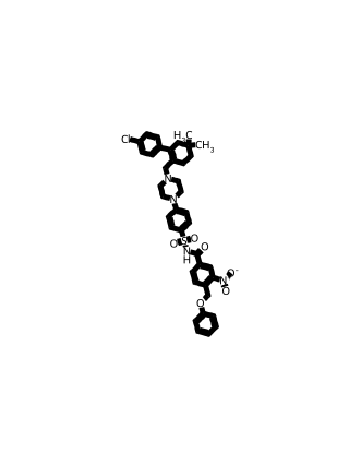 CC1(C)CCC(CN2CCN(c3ccc(S(=O)(=O)NC(=O)c4ccc(COc5ccccc5)c([N+](=O)[O-])c4)cc3)CC2)=C(c2ccc(Cl)cc2)C1